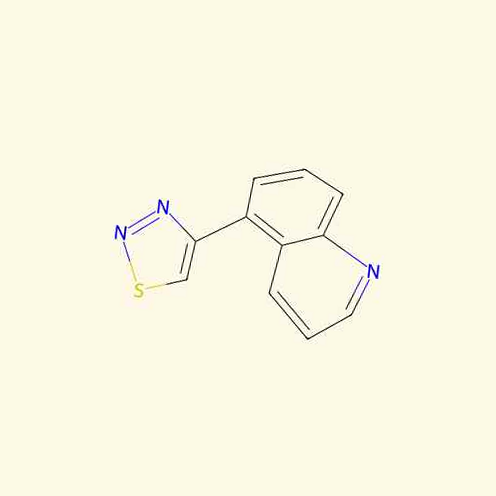 c1cc(-c2csnn2)c2cccnc2c1